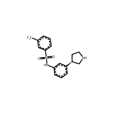 O=S(=O)(Nc1cccc([C@H]2CCNC2)c1)c1cccc(C(F)(F)F)c1